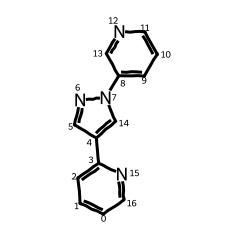 c1ccc(-c2cnn(-c3cccnc3)c2)nc1